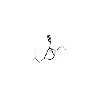 C#CC1C2CC(C[C@@H]2OC(F)F)N1C(=O)O